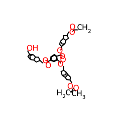 C=CC(=O)OCC1CC2C3CC(COC(=O)c4ccc(C(=O)OCC5CC6C7CC(CO)C(C7)C6C5)cc4C(=O)OCC4CC5CC4C4CC(COC(=O)C(=C)C)CC54)C(C3)C2C1